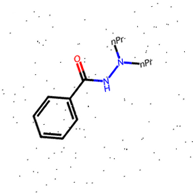 CCCN(CCC)NC(=O)c1ccccc1